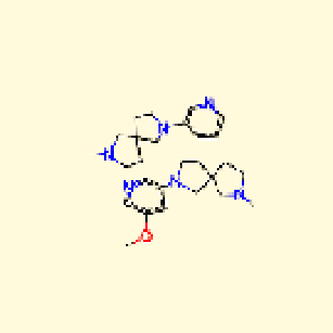 CN1CCC2(CCN(c3cccnc3)C2)C1.COc1cncc(N2CCC3(CCN(C)C3)C2)c1